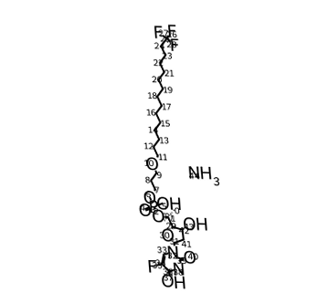 C[C@@H](OP(=O)(O)OCCCOCCCCCCCCCCCCCCC(F)(F)F)C1OC(n2cc(F)c(=O)[nH]c2=O)CC1O.N